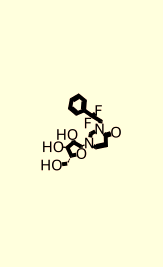 O=C1C=CN([C@@H]2O[C@H](CO)[C@H](O)C2O)CN1CC(F)(F)c1ccccc1